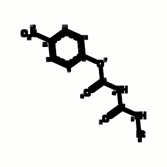 CCNC(=O)NC(=O)Oc1ccc([N+](=O)[O-])cc1